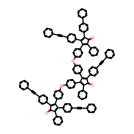 O=C1C(c2ccc(-c3ccccc3)cc2)=C(c2ccc(C#Cc3ccccc3)cc2)C(c2ccc(Oc3ccc(C4=C(c5ccc(C#Cc6ccccc6)cc5)C(=O)C(c5ccccc5)=C4c4ccc(Oc5ccc(C6=C(c7ccc(C#Cc8ccccc8)cc7)C(=O)C(c7ccccc7)=C6c6ccc(C#Cc7ccccc7)cc6)cc5)cc4)cc3)cc2)=C1c1ccccc1